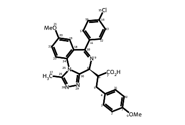 COc1ccc(CC(C(=O)O)[C@@H]2N=C(c3ccc(Cl)cc3)c3cc(OC)ccc3-n3c(C)nnc32)cc1